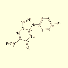 CCOC(=O)c1nn2cnn(-c3ccc(F)cc3)c2nc1=O